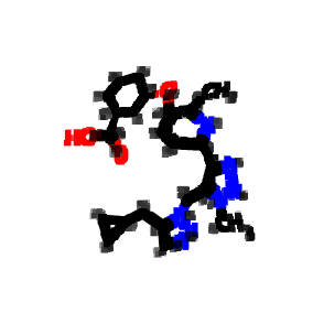 Cc1nc(-c2nnn(C)c2Cn2nncc2CC2CC2)ccc1O[C@H]1CCC[C@H](C(=O)O)C1